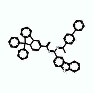 C=C(/N=C(\N=C(/C)c1ccc(-c2ccccc2)cc1)c1ccc2oc3ccccc3c2c1)C1=CC2c3ccccc3C(c3ccccc3)(c3ccccc3)C2C=C1